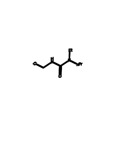 CCCN(CC)C(=O)NC[O]